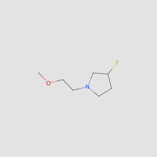 COCCN1CCC(F)C1